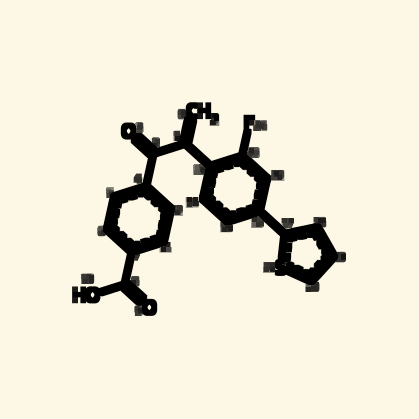 C=C(C(=O)c1ccc(C(=O)O)cc1)c1ccc(-c2cccs2)cc1F